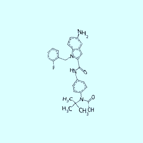 CC(C)(C)N(C(=O)O)c1ccc(NC(=O)c2cc3cc(N)ccc3n2Cc2ccccc2F)cc1